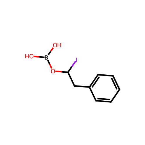 OB(O)OC(I)Cc1ccccc1